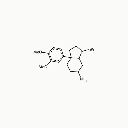 CCCN1CCC2(c3ccc(OC)c(OC)c3)CCC(N)CC12